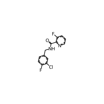 O=C(NCc1ccc(F)c(Cl)c1)c1ncccc1F